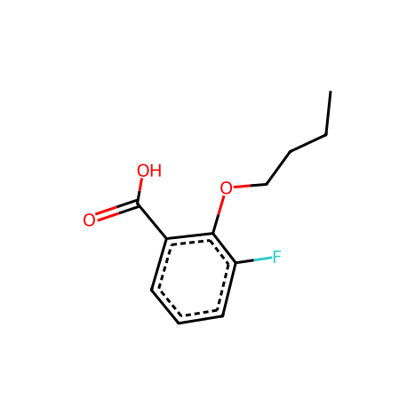 CCCCOc1c(F)cccc1C(=O)O